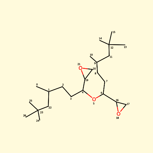 CC(CCC(OC(CCC(C)CC(C)(C)C)C1CO1)C1CO1)CC(C)(C)C